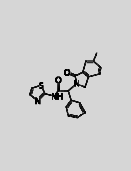 Cc1ccc2c(c1)C(=O)N(C(C(=O)Nc1nccs1)c1ccccc1)C2